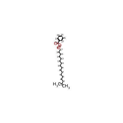 CC(C)CCCCCCCCCCCCCCCOOC(=O)c1ccccc1